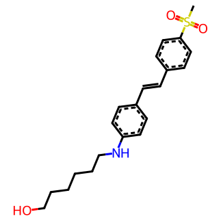 CS(=O)(=O)c1ccc(/C=C/c2ccc(NCCCCCCO)cc2)cc1